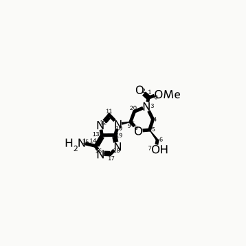 COC(=O)N1C[C@@H](CO)O[C@@H](n2cnc3c(N)ncnc32)C1